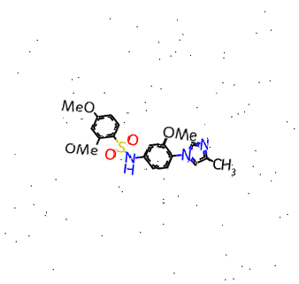 COc1ccc(S(=O)(=O)Nc2ccc(-n3cnc(C)c3)c(OC)c2)c(OC)c1